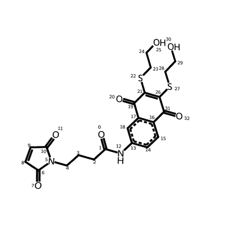 O=C(CCCN1C(=O)C=CC1=O)Nc1ccc2c(c1)C(=O)C(SCCO)=C(SCCO)C2=O